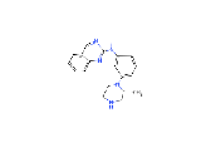 CC1CNCCN1c1cccc(Nc2ncc3ccccc3n2)c1